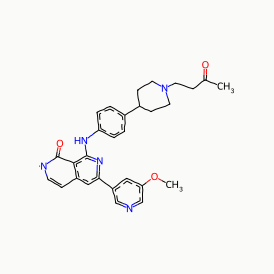 COc1cncc(-c2cc3c(c(Nc4ccc(C5CCN(CCC(C)=O)CC5)cc4)n2)C(=O)[N]C=C3)c1